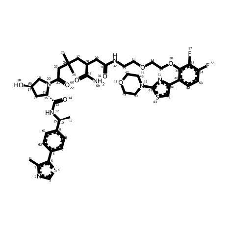 Cc1ncsc1-c1ccc([C@H](C)NC(=O)[C@@H]2C[C@@H](O)CN2C(=O)CC(C)(C)CC(CC(=O)NCCOCCOc2c(-c3csc(N4CCOCC4)n3)ccc(F)c2F)C(N)=O)cc1